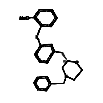 COc1ccccc1Sc1cccc(C[C@H]2CN(Cc3ccccc3)CCO2)c1